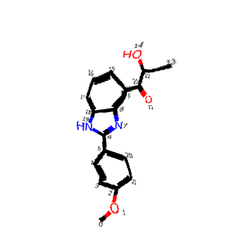 COc1ccc(-c2nc3c(C(=O)C(C)O)cccc3[nH]2)cc1